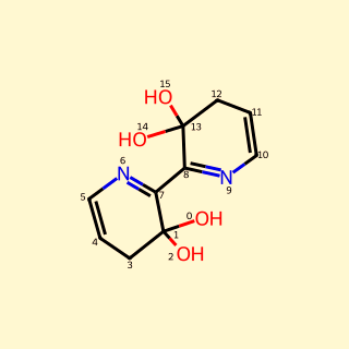 OC1(O)CC=CN=C1C1=NC=CCC1(O)O